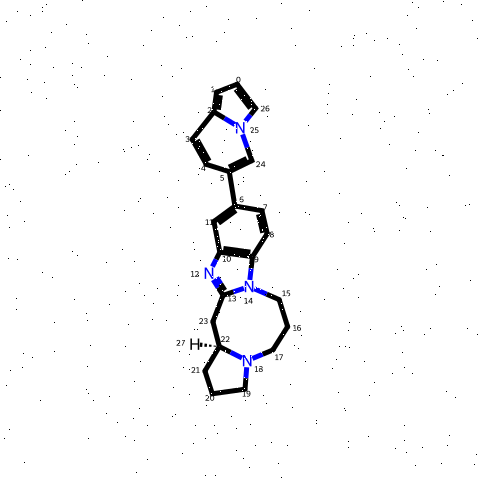 c1cc2ccc(-c3ccc4c(c3)nc3n4CCCN4CCC[C@H]4C3)cn2c1